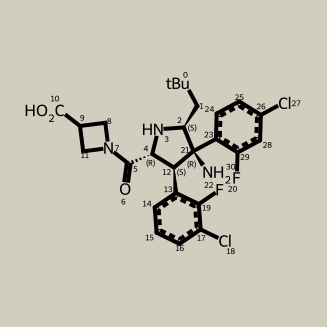 CC(C)(C)C[C@@H]1N[C@@H](C(=O)N2CC(C(=O)O)C2)[C@H](c2cccc(Cl)c2F)[C@@]1(N)c1ccc(Cl)cc1F